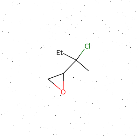 CCC(C)(Cl)C1CO1